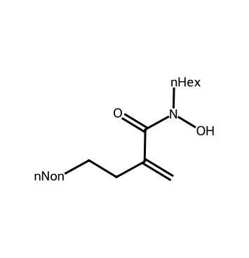 C=C(CCCCCCCCCCC)C(=O)N(O)CCCCCC